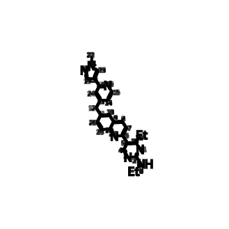 CCNc1ncc(-c2ccc3cc(Cc4ccnc(-c5cnn(C)c5)c4)ccc3n2)c(CC)n1